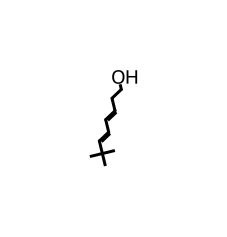 CC(C)(C)C=CC=CCCO